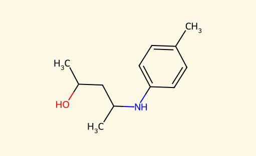 Cc1ccc(NC(C)CC(C)O)cc1